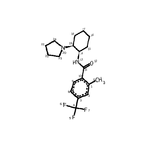 Cc1cc(C(F)(F)F)ccc1C(=O)N[C@@H]1CCCC[C@@H]1N1CCCC1